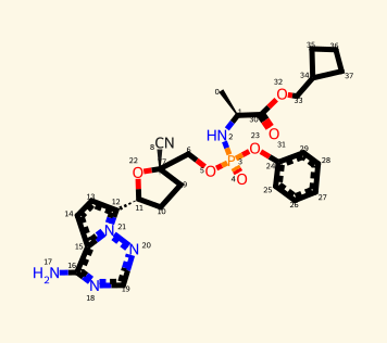 C[C@H](NP(=O)(OC[C@]1(C#N)CC[C@H](c2ccc3c(N)ncnn23)O1)Oc1ccccc1)C(=O)OCC1CCC1